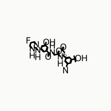 CC(C)(O)c1cc(C#N)cc([C@H](CC=O)NC(=O)CNC(=O)c2cc(O)cc(NC3=NCC(F)CN3)c2)c1